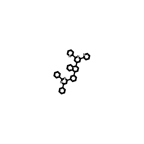 c1ccc(-c2cc(-c3cccc(-c4ccc(-c5cc(-c6ccccn6)nc(-c6ccccn6)c5)c5ccccc45)c3)nc(-c3ccccc3)n2)cc1